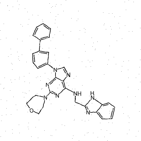 c1ccc(-c2cccc(-n3cnc4c(NCc5nc6ccccc6[nH]5)nc(N5CCOCC5)nc43)c2)cc1